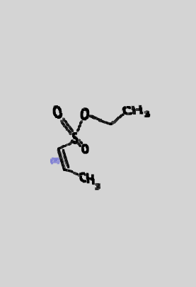 C/C=C\S(=O)(=O)OCC